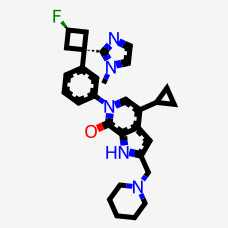 Cn1ccnc1[C@]1(c2cccc(-n3cc(C4CC4)c4cc(CN5CCCCC5)[nH]c4c3=O)c2)C[C@@H](F)C1